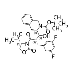 CC(C)[C@H]1COC(=O)N1C(=O)[C@@H](Cc1cc(F)cc(F)c1)[C@H](O)[C@H]1Cc2ccccc2CN1C(=O)OC(C)(C)C